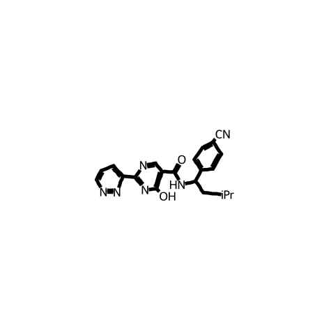 CC(C)CC(NC(=O)c1cnc(-c2cccnn2)nc1O)c1ccc(C#N)cc1